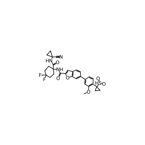 COc1cc(-c2ccc3cc(C(=O)NC4(C(=O)NC5(C#N)CC5)CCC(F)(F)CC4)oc3c2)ccc1C1([SH](=O)=O)CC1